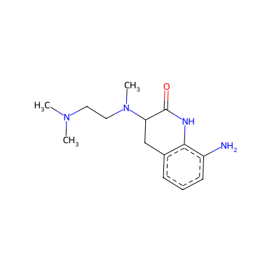 CN(C)CCN(C)C1Cc2cccc(N)c2NC1=O